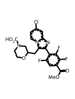 COC(=O)c1cc(F)c(-c2nc3cc(Cl)ccn3c2CC2CN(C(=O)O)CCO2)c(F)c1F